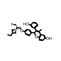 CCC1CN([C@@H](CF)COc2ccc(C3Oc4ccc(O)cc4C(C)=C3c3cccc(O)c3)cc2)C1